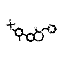 Cc1cc(OC(F)(F)F)ccc1-c1ccc2c(c1)C(=O)N(Cc1ncccn1)CCO2